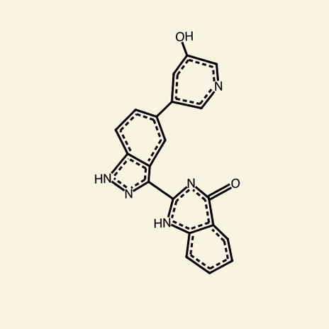 O=c1nc(-c2n[nH]c3ccc(-c4cncc(O)c4)cc23)[nH]c2ccccc12